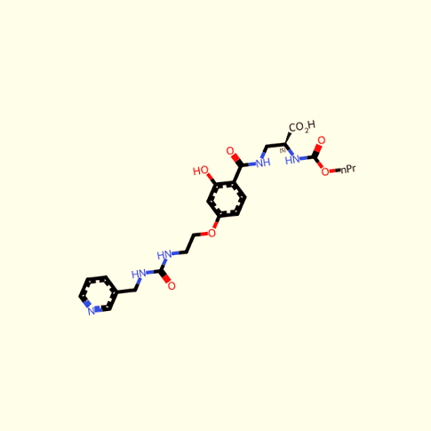 CCCOC(=O)N[C@@H](CNC(=O)c1ccc(OCCNC(=O)NCc2cccnc2)cc1O)C(=O)O